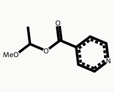 COC(C)OC(=O)c1ccncc1